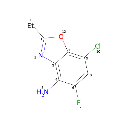 CCc1nc2c(N)c(F)cc(Cl)c2o1